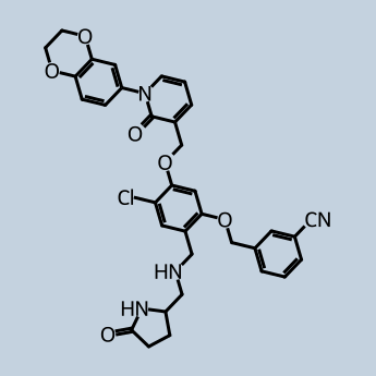 N#Cc1cccc(COc2cc(OCc3cccn(-c4ccc5c(c4)OCCO5)c3=O)c(Cl)cc2CNCC2CCC(=O)N2)c1